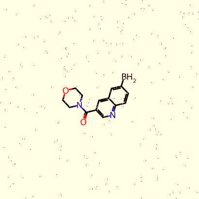 Bc1ccc2ncc(C(=O)N3CCOCC3)cc2c1